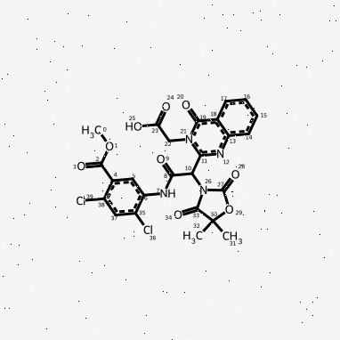 COC(=O)c1cc(NC(=O)C(c2nc3ccccc3c(=O)n2CC(=O)O)N2C(=O)OC(C)(C)C2=O)c(Cl)cc1Cl